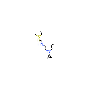 CCCN(CCNCC[SH](C)CC)C1CC1